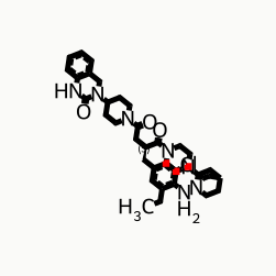 CCc1cc(C[C@@H](CC(=O)N2CCC(N3Cc4ccccc4NC3=O)CC2)C(=O)N2CCN(C3CC4CCN3CC4)CC2)cc(Cl)c1N